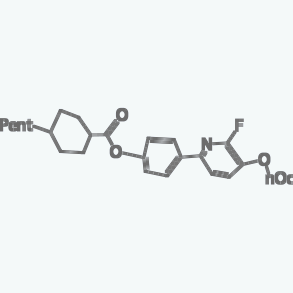 CCCCCCCCOc1ccc(-c2ccc(OC(=O)C3CCC(CCCCC)CC3)cc2)nc1F